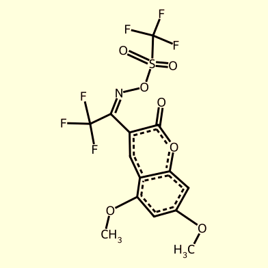 COc1cc(OC)c2cc(/C(=N\OS(=O)(=O)C(F)(F)F)C(F)(F)F)c(=O)oc2c1